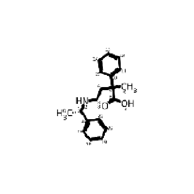 C[C@H](NCCC(C)(C(=O)O)c1ccccc1)c1ccccc1